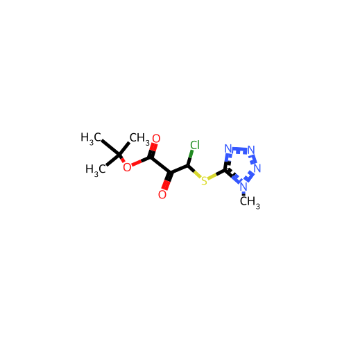 Cn1nnnc1SC(Cl)C(=O)C(=O)OC(C)(C)C